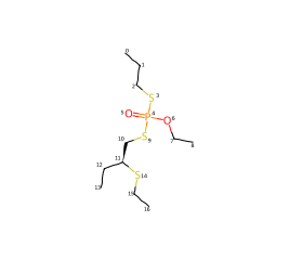 CCCSP(=O)(OCC)SC[C@H](CC)SCC